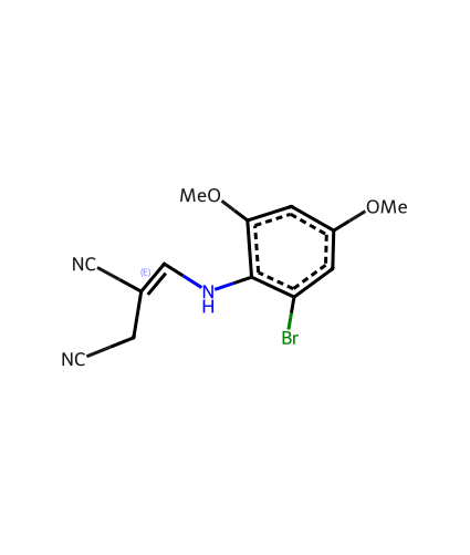 COc1cc(Br)c(N/C=C(/C#N)CC#N)c(OC)c1